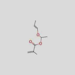 C=C(C)C(=O)OC(C)OC=CC